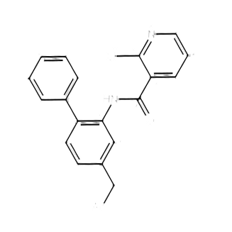 CC(=O)Cc1ccc(-c2ccccc2)c(NC(=O)c2cccnc2Cl)c1